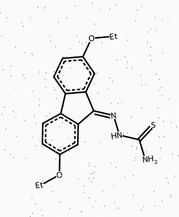 CCOc1ccc2c(c1)C(=NNC(N)=S)c1cc(OCC)ccc1-2